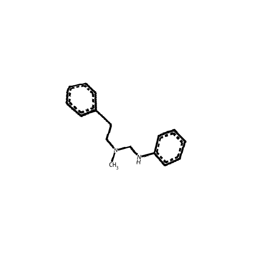 CN(CCc1ccccc1)CNc1ccccc1